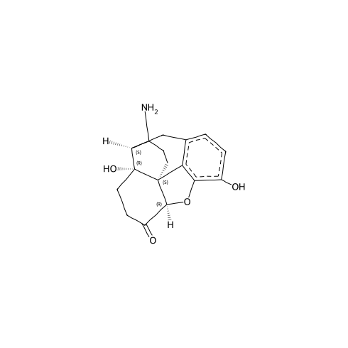 NC1CC[C@]23c4c5ccc(O)c4O[C@H]2C(=O)CC[C@@]3(O)[C@H]1C5